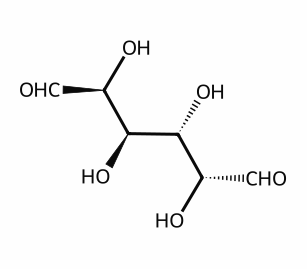 O=C[C@@H](O)[C@H](O)[C@H](O)[C@@H](O)C=O